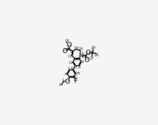 CCOc1ccc(-c2ccc3c(c2)C=C(C(=O)OC)CCN3C(=O)OC(C)(C)C)cc1F